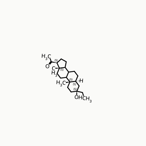 CC[C@]1(O)CC[C@]2(C)C3CC[C@@]4(C)C(CC[C@@H]4C(C)=O)C3CC[C@H]2C1